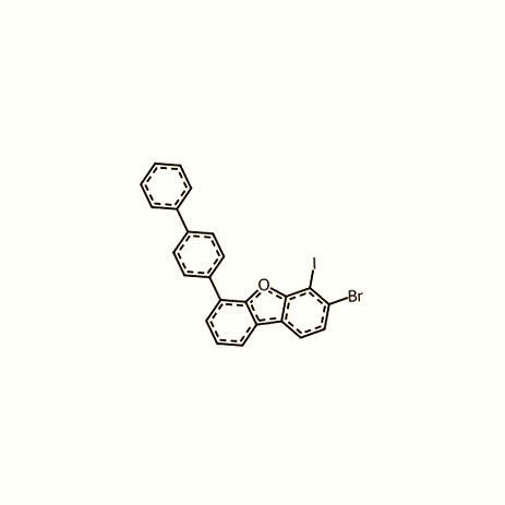 Brc1ccc2c(oc3c(-c4ccc(-c5ccccc5)cc4)cccc32)c1I